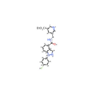 CCOC(=O)c1cncc(CNC(=O)c2cccc3c2cnn3-c2ccc(F)cc2)c1